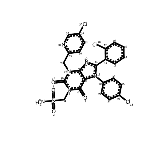 NS(=O)(=O)Cn1c(=O)c2c(nc(-c3ccccc3Cl)n2-c2ccc(Cl)cc2)n(Cc2ccc(Cl)cn2)c1=O